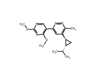 COc1ncc(-c2cc([C@H]3C[C@@H]3C(C)C)c(C)nn2)c(OC)n1